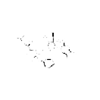 C#C[C@@]1(N)C(O)[C@@H](COP(=O)(Oc2ccccc2)O[C@@H](C)C(=O)OC(C)C)O[C@H]1n1cc(F)c(N)nc1=O